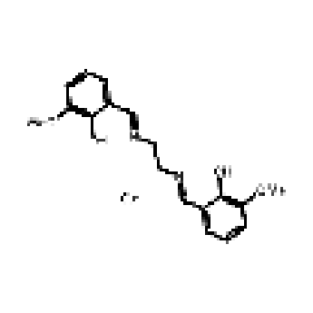 COc1cccc(C=NCCN=Cc2cccc(OC)c2O)c1O.[Cu]